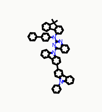 CC1(C)c2ccccc2-c2c(N(c3ccc(-c4ccccc4)cc3)c3nc(-n4c5ccccc5c5cc(-c6ccc7c(c6)c6ccccc6n7-c6ccccc6)ccc54)c4ccccc4n3)cccc21